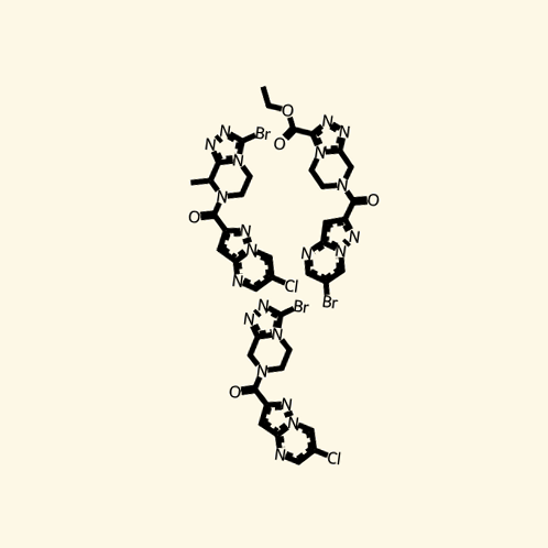 CC1c2nnc(Br)n2CCN1C(=O)c1cc2ncc(Cl)cn2n1.CCOC(=O)c1nnc2n1CCN(C(=O)c1cc3ncc(Br)cn3n1)C2.O=C(c1cc2ncc(Cl)cn2n1)N1CCn2c(Br)nnc2C1